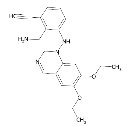 C#Cc1cccc(NN2CN=Cc3cc(OCC)c(OCC)cc32)c1CN